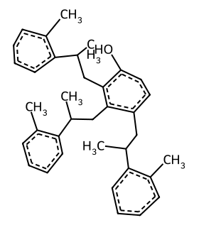 Cc1ccccc1C(C)Cc1ccc(O)c(CC(C)c2ccccc2C)c1CC(C)c1ccccc1C